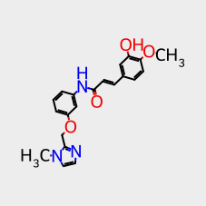 COc1ccc(/C=C/C(=O)Nc2cccc(OCc3nccn3C)c2)cc1O